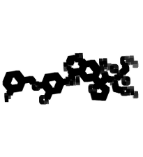 CCN(C(C)C1(c2ccc3ncnc(Nc4ccc(OCc5cccc(F)c5)c(Cl)c4)c3c2)CC=CO1)S(=O)(=O)CC